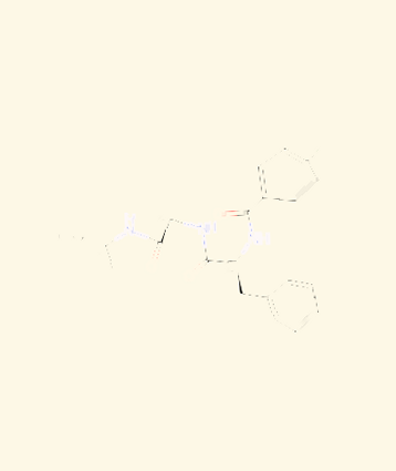 CCCC[C@@H](C=O)NC(=O)[C@H](C)NC(=O)[C@H](Cc1ccccc1)NC(=O)c1ccc(Cl)cc1